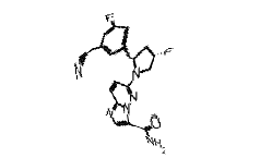 N#Cc1cc(F)cc([C@H]2C[C@H](F)CN2c2ccc3ncc(C(N)=O)n3n2)c1